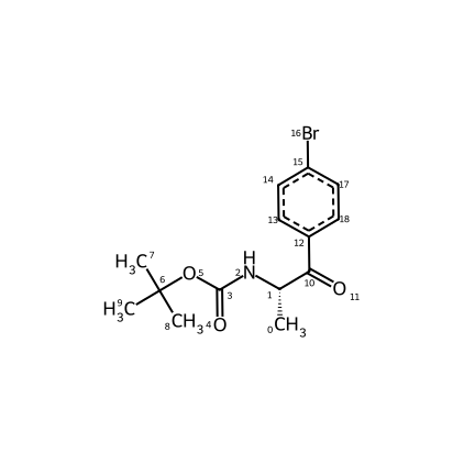 C[C@H](NC(=O)OC(C)(C)C)C(=O)c1ccc(Br)cc1